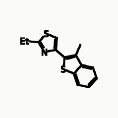 CCc1nc(-c2sc3ccccc3c2C)cs1